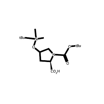 CC(C)(C)OC(=O)N1CC(O[Si](C)(C)C(C)(C)C)C[C@@H]1C(=O)O